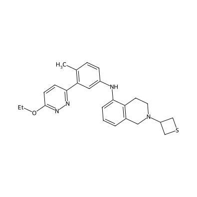 CCOc1ccc(-c2cc(Nc3cccc4c3CCN(C3CSC3)C4)ccc2C)nn1